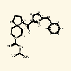 O=C(OC(C(F)(F)F)C(F)(F)F)N1CCC2(CCCN2C(=O)c2ccn(Cc3ccccc3)n2)CC1